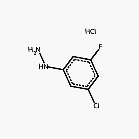 Cl.NNc1cc(F)cc(Cl)c1